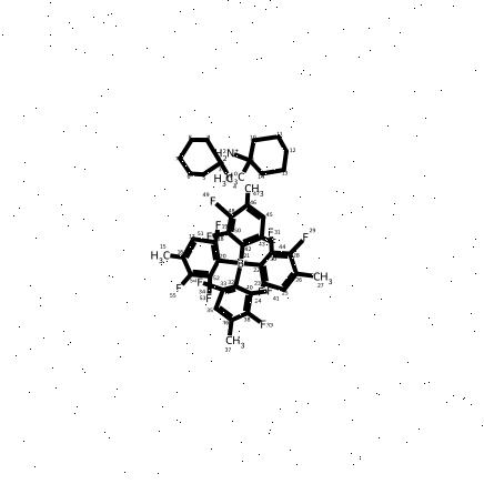 CC1([NH2+]C2(C)CCCCC2)CCCCC1.Cc1cc(F)c([B-](c2c(F)cc(C)c(F)c2F)(c2c(F)cc(C)c(F)c2F)c2c(F)cc(C)c(F)c2F)c(F)c1F